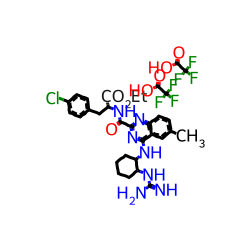 CCOC(=O)C(Cc1ccc(Cl)cc1)NC(=O)c1nc(NC2CCCCC2NC(=N)N)c2cc(C)ccc2n1.O=C(O)C(F)(F)F.O=C(O)C(F)(F)F